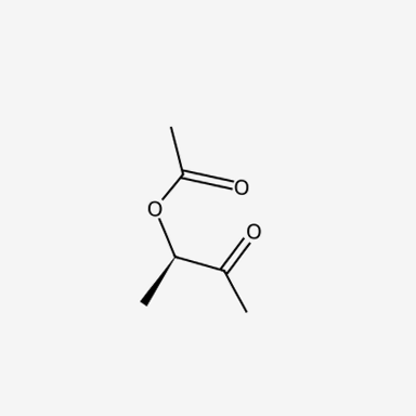 CC(=O)O[C@H](C)C(C)=O